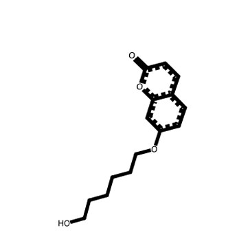 O=c1ccc2ccc(OCCCCCCO)cc2o1